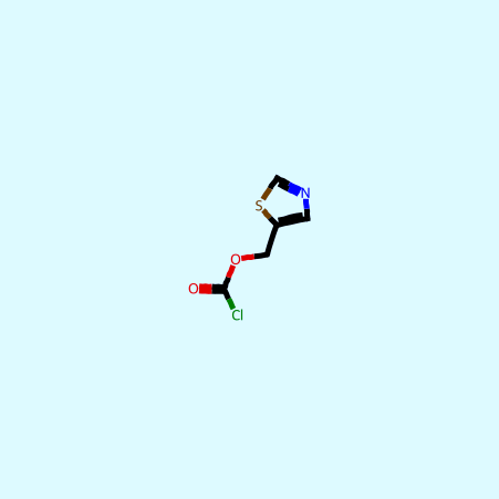 O=C(Cl)OCc1cncs1